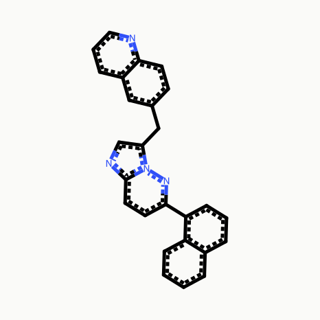 c1cnc2ccc(Cc3cnc4ccc(-c5cccc6ccccc56)nn34)cc2c1